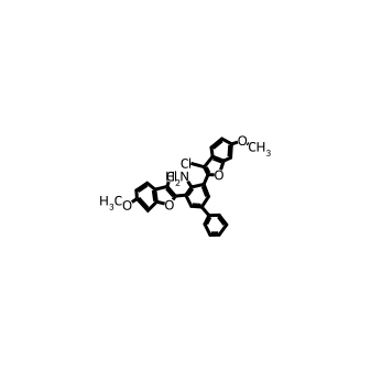 COc1ccc2c(Cl)c(-c3cc(-c4ccccc4)cc(-c4oc5cc(OC)ccc5c4Cl)c3N)oc2c1